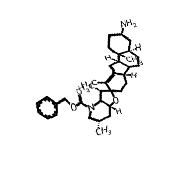 CC1=C2C[C@H]3C(CC[C@@H]4C[C@H](N)CCC43C)[C@@H]2CCC12O[C@@H]1C[C@H](C)CN(C(=O)OCc3ccccc3)C1[C@H]2C